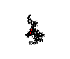 C#CCC1CCN(C[C@@]2(COc3nc(N4CC5CCC(C4)N5C(=O)OC(C)(C)C)c4cc(Cl)c(-c5ccc(F)c6sc(NC(=O)OC(C)(C)C)c(C#N)c56)c(F)c4n3)CC2(F)F)CC1